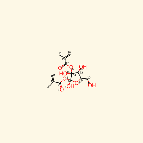 C=C(C)C(=O)OC1(O)O[C@H](CO)[C@H](O)[C@@]1(O)OC(=O)C(=C)C